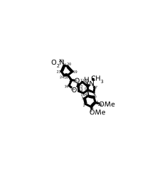 COc1ccc([C@]23CCN(C)[C@H]2CC2(CC3)OCC(c3ccc([N+](=O)[O-])cc3)O2)cc1OC